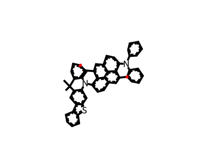 CC(C)c1cc2ccc(N3c4ccccc4C(C)(C)c4cc5c(cc43)sc3ccccc35)c3c(C(C)C)cc4ccc(N(c5ccccc5)c5ccccc5)c1c4c23